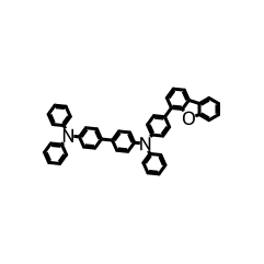 c1ccc(N(c2ccccc2)c2ccc(-c3ccc(N(c4ccccc4)c4ccc(-c5cccc6c5oc5ccccc56)cc4)cc3)cc2)cc1